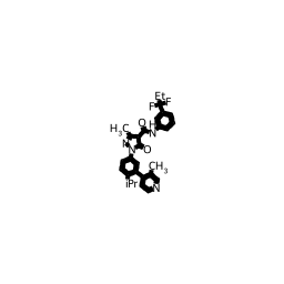 CCC(F)(F)c1cccc(NC(=O)C2C(=O)N(c3ccc(C(C)C)c(-c4ccncc4C)c3)N=C2C)c1